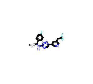 CC(Nc1ncc(-c2cncc(C=C(F)F)c2)nn1)c1ccc(F)cc1